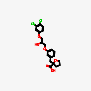 O=C(O)C1(Cc2cccc(OCC(O)COc3ccc(Cl)c(Cl)c3)c2)CCCO1